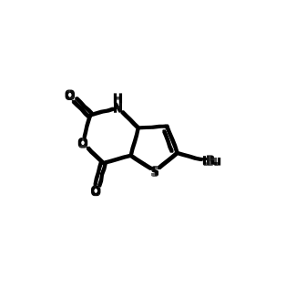 CC(C)(C)C1=CC2NC(=O)OC(=O)C2S1